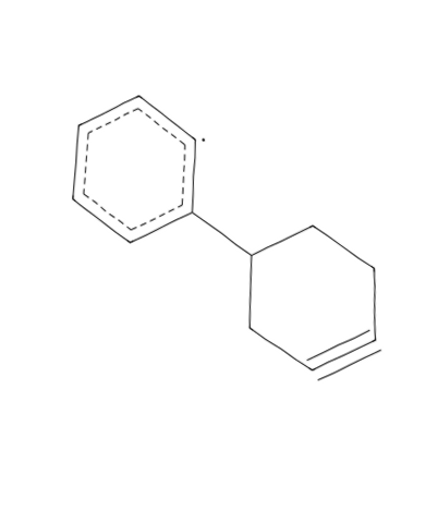 C1#CCC(c2[c]cccc2)CC1